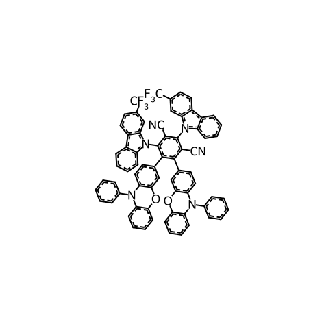 N#Cc1c(-c2ccc3c(c2)Oc2ccccc2N3c2ccccc2)c(-c2ccc3c(c2)Oc2ccccc2N3c2ccccc2)c(-n2c3ccccc3c3ccc(C(F)(F)F)cc32)c(C#N)c1-n1c2ccccc2c2ccc(C(F)(F)F)cc21